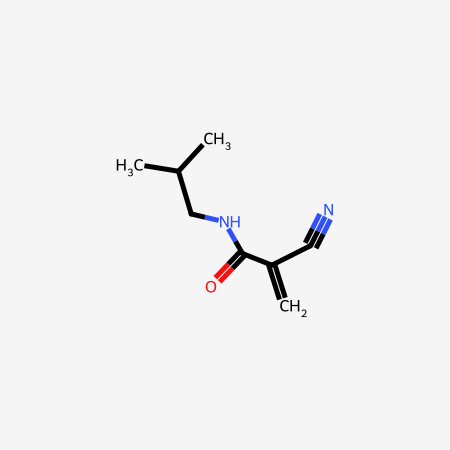 C=C(C#N)C(=O)NCC(C)C